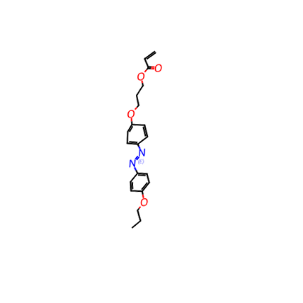 C=CC(=O)OCCCOc1ccc(/N=N/c2ccc(OCCC)cc2)cc1